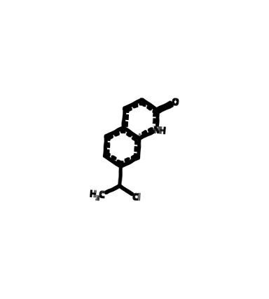 CC(Cl)c1ccc2ccc(=O)[nH]c2c1